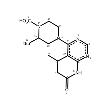 CC1CC(=O)Nc2ncnc(N3CCN(C(=O)O)C(C(C)(C)C)C3)c21